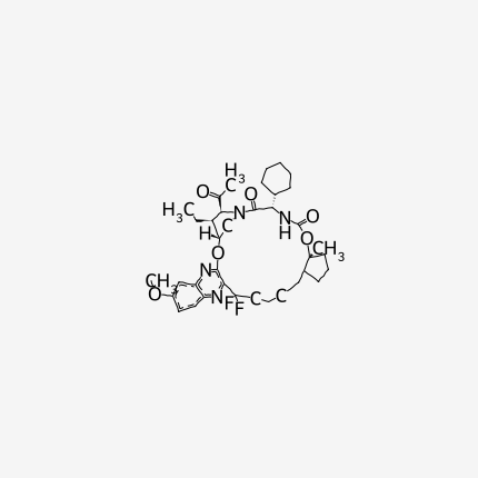 CC[C@@H]1[C@@H]2CN(C(=O)[C@H](C3CCCCC3)NC(=O)O[C@]3(C)CCCC3CCCCC(F)(F)c3nc4ccc(OC)cc4nc3O2)[C@@H]1C(C)=O